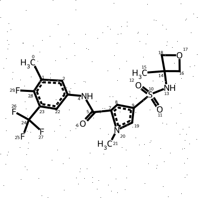 Cc1cc(NC(=O)c2cc(S(=O)(=O)NC3(C)COC3)cn2C)cc(C(F)(F)F)c1F